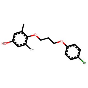 CCc1cc(O)cc(C)c1OCCCOc1ccc(Br)cc1